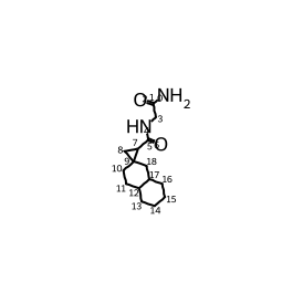 NC(=O)CNC(=O)C1CC12CCC1CCCCC1C2